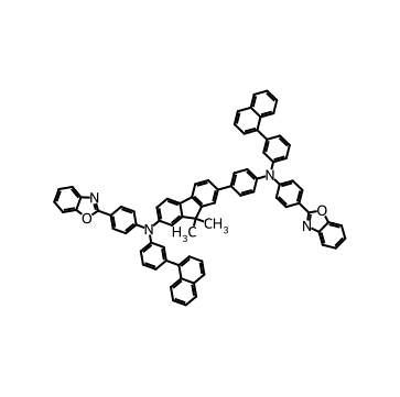 CC1(C)c2cc(-c3ccc(N(c4ccc(-c5nc6ccccc6o5)cc4)c4cccc(-c5cccc6ccccc56)c4)cc3)ccc2-c2ccc(N(c3ccc(-c4nc5ccccc5o4)cc3)c3cccc(-c4cccc5ccccc45)c3)cc21